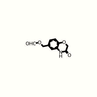 O=COCc1ccc2c(c1)NC(=O)CO2